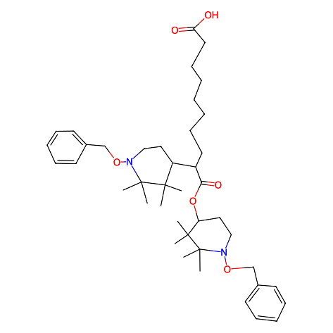 CC1(C)C(OC(=O)C(CCCCCCCC(=O)O)C2CCN(OCc3ccccc3)C(C)(C)C2(C)C)CCN(OCc2ccccc2)C1(C)C